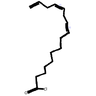 C=CC/C=C\C/C=C\CCCCCCCC(=O)Cl